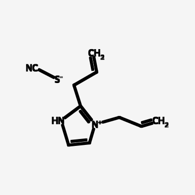 C=CCc1[nH]cc[n+]1CC=C.N#C[S-]